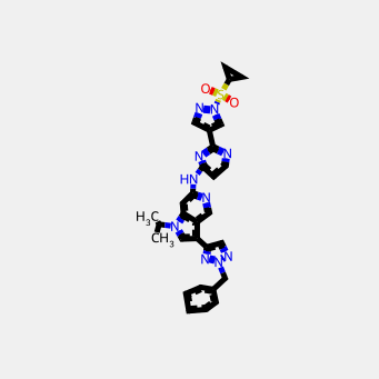 CC(C)n1cc(-c2cnn(Cc3ccccc3)n2)c2cnc(Nc3ccnc(-c4cnn(S(=O)(=O)C5CC5)c4)n3)cc21